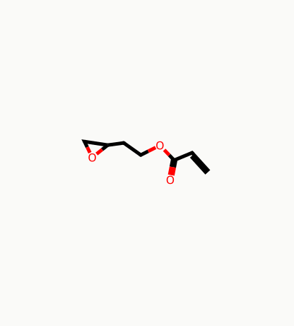 C=CC(=O)OCCC1CO1